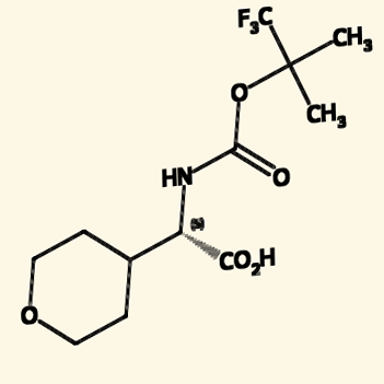 CC(C)(OC(=O)N[C@H](C(=O)O)C1CCOCC1)C(F)(F)F